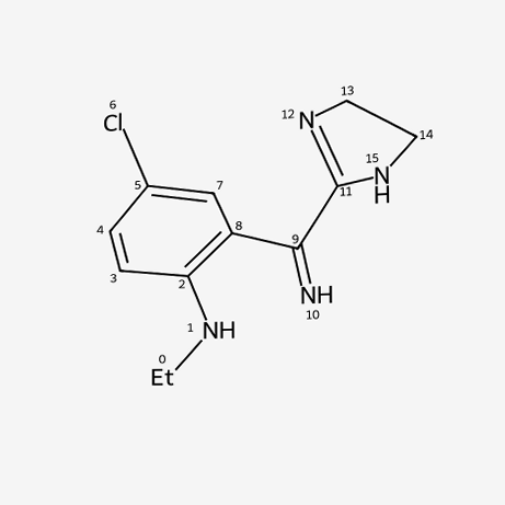 CCNc1ccc(Cl)cc1C(=N)C1=NCCN1